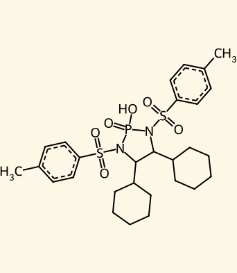 Cc1ccc(S(=O)(=O)N2C(C3CCCCC3)C(C3CCCCC3)N(S(=O)(=O)c3ccc(C)cc3)P2(=O)O)cc1